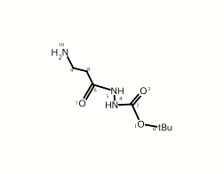 CC(C)(C)OC(=O)NNC(=O)CCN